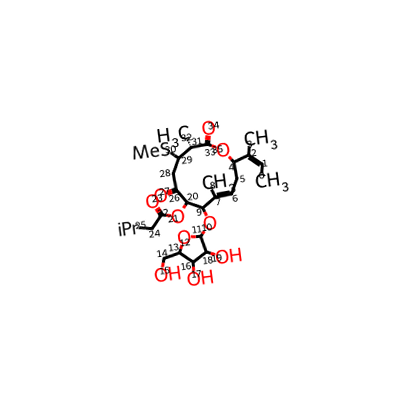 C/C=C(/C)C1C/C=C(\C)C(OC2OC(CO)C(O)C2O)C(OC(=O)CC(C)C)C(=O)CC(SC)[C@H](C)C(=O)O1